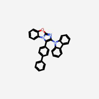 c1ccc(-c2ccc(-c3c(-n4c5ccccc5c5ccccc54)nc4oc5ccccc5n34)cc2)cc1